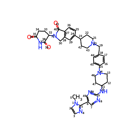 Cn1ccnc1-c1cnc(NC2CCN(c3ccc(CN4CCC(c5ccc6c(c5)CN(C5CCC(=O)NC5=O)C6=O)CC4)cc3)CC2)nc1